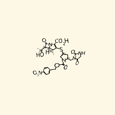 C[C@@H](O)[C@H]1C(=O)N2C(C(=O)O)=C(S[C@H]3C[C@@H](CN4C(=O)CNC4=O)N(C(=O)OCc4ccc([N+](=O)[O-])cc4)C3)[C@H](C)[C@H]12